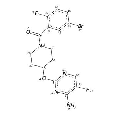 Nc1nc(OC2CCN(C(=O)c3cc(Br)ccc3F)CC2)ncc1F